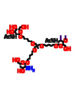 CC(=O)N[C@H]1C(O)[C@@H](O)C(CO)O[C@H]1OCCCCCOCC(C)(COCCCCCO[C@@H]1OC(CO)CC(O)[C@@H]1N)COCCCCCO[C@@H]1OC(CO)[C@H](OI)C(I)[C@@H]1NC(C)=O